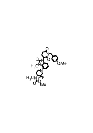 COc1ccc(CN2C(=O)CCC(n3c(=O)n(C)c4c(N5CCC(N(C)C(=O)OC(C)(C)C)C(F)(F)C5)cccc43)C2=O)cc1